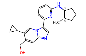 C[C@H]1CCC[C@@H]1Nc1cccc(-c2cnc3cc(CO)c(C4CC4)cn23)n1